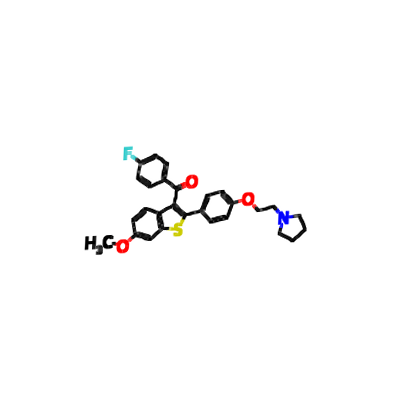 COc1ccc2c(C(=O)c3ccc(F)cc3)c(-c3ccc(OCCN4CCCC4)cc3)sc2c1